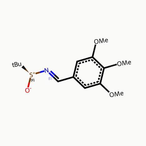 COc1cc(/C=N/[S@@+]([O-])C(C)(C)C)cc(OC)c1OC